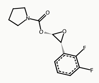 O=C(O[C@@H]1O[C@@H]1c1cccc(F)c1F)N1CCCC1